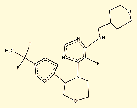 CC(F)(F)c1ccc(C2COCCN2c2ncnc(NCC3CCOCC3)c2F)cc1